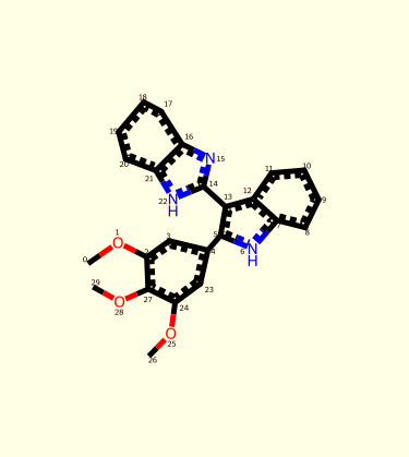 COc1cc(-c2[nH]c3ccccc3c2-c2nc3ccccc3[nH]2)cc(OC)c1OC